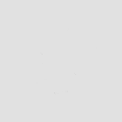 COCCOCCC1(C)C(=CC=CC=CC2N(CCCS(=O)(=O)O)c3ccc4c(S(=O)(=O)O)cc(S(=O)(=O)O)cc4c3C2(C)CCCS(=O)(=O)O)N(CCCCCC(=O)O)c2ccc3c(S(=O)(=O)O)cc(S(=O)(=O)O)cc3c21